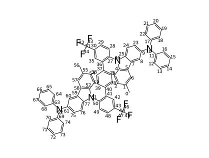 Cc1ccc2c(c1)c1cc(N(c3ccccc3)c3ccccc3)ccc1n2-c1ccc(C(F)(F)F)cc1-c1ccc(-c2cc(C(F)(F)F)ccc2-n2c3ccc(C)cc3c3cc(N(c4ccccc4)c4ccccc4)ccc32)cc1